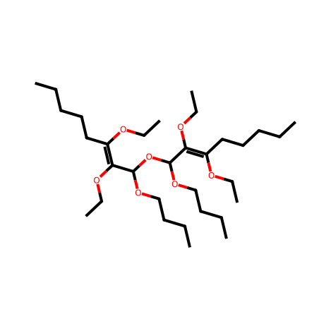 CCCCCC(OCC)=C(OCC)C(OCCCC)OC(OCCCC)C(OCC)=C(CCCCC)OCC